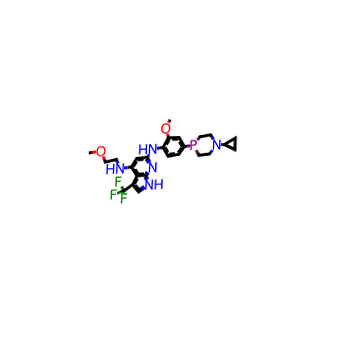 COCCNc1cc(Nc2ccc(P3CCN(C4CC4)CC3)cc2OC)nc2[nH]cc(C(F)(F)F)c12